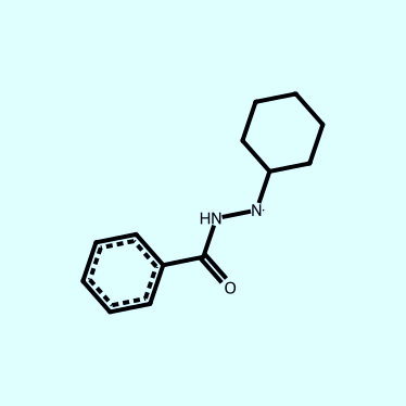 O=C(N[N]C1CCCCC1)c1ccccc1